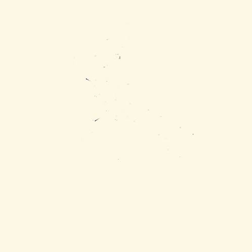 CCC[C@H](NC(=O)[C@H](Cc1cc(F)c(O)c(F)c1)N[C@@H](c1ccc(C2CCOCC2)cc1)C(F)(F)F)C(=O)C(=O)NC1CCCC1